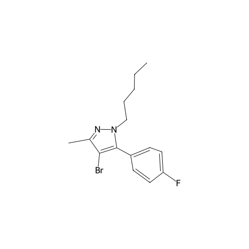 CCCCCn1nc(C)c(Br)c1-c1ccc(F)cc1